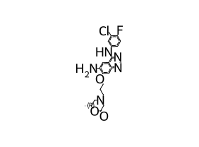 C[C@@H]1CN(CCCOc2cc3ncnc(Nc4ccc(F)c(Cl)c4)c3cc2N)CC(=O)O1